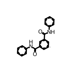 O=C(Nc1ccccc1)c1c[c]cc(C(=O)Nc2ccccc2)c1